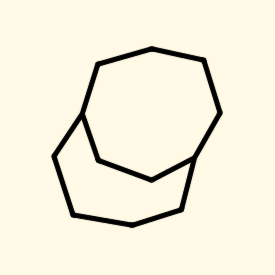 C1CCC2CCCC[C](C1)CC2